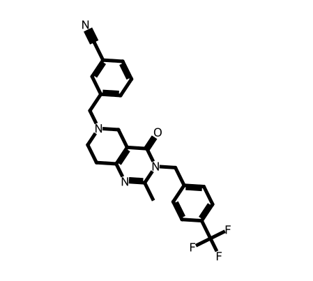 Cc1nc2c(c(=O)n1Cc1ccc(C(F)(F)F)cc1)CN(Cc1cccc(C#N)c1)CC2